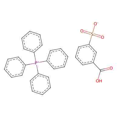 O=C(O)c1cccc(S(=O)(=O)[O-])c1.c1ccc([P+](c2ccccc2)(c2ccccc2)c2ccccc2)cc1